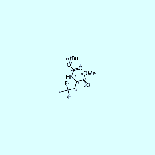 COC(=O)C(CC(C)(F)F)NC(=O)OC(C)(C)C